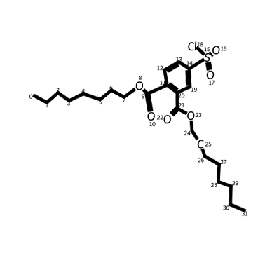 CCCCCCCCOC(=O)c1ccc(S(=O)(=O)Cl)cc1C(=O)OCCCCCCCC